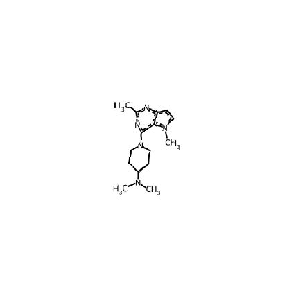 Cc1nc(N2CCC(N(C)C)CC2)c2c(ccn2C)n1